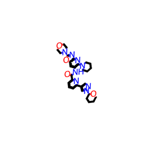 O=C(Nc1cc2oc(N3CCOCC3)nc2nc1N1CCCCC1)c1cccc(-c2cnn(C3CCCCO3)c2)n1